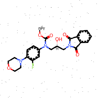 CCCOC(=O)N(C[C@H](O)CN1C(=O)c2ccccc2C1=O)c1ccc(N2CCOCC2)c(F)c1